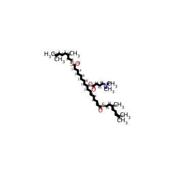 CC(C)=CCCC(C)CCSC(=O)CCCCCCCC(CCCCCCCC(=O)SCCC(C)CCC=C(C)C)OC(=O)CCCN(C)C